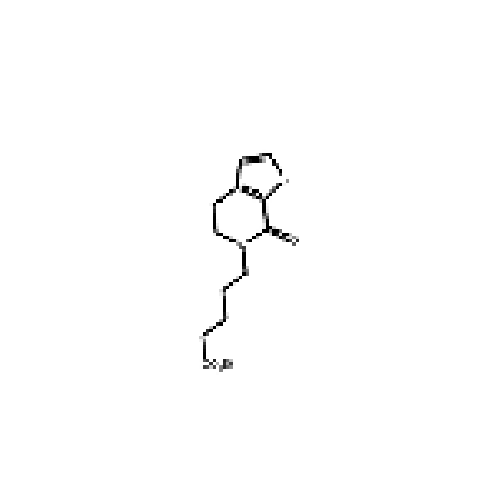 CCOC(=O)CCCCN1CCc2ccsc2C1=O